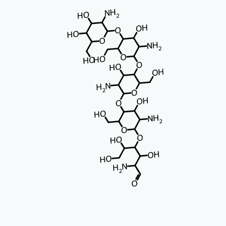 NC(C=O)C(O)C(OC1OC(CO)C(OC2OC(CO)C(OC3OC(CO)C(OC4OC(CO)C(O)C(O)C4N)C(O)C3N)C(O)C2N)C(O)C1N)C(O)CO